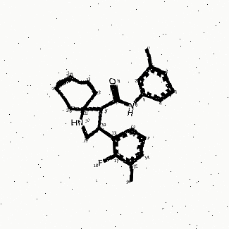 Cc1cccc(NC(=O)C2C(c3cccc(C)c3F)CNC23CCCCC3)c1